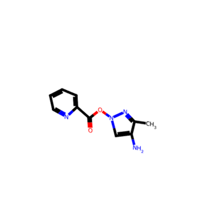 Cc1nn(OC(=O)c2ccccn2)cc1N